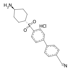 Cl.N#Cc1ccc(-c2ccc(S(=O)(=O)[C@H]3CC[C@H](N)CC3)cc2)cc1